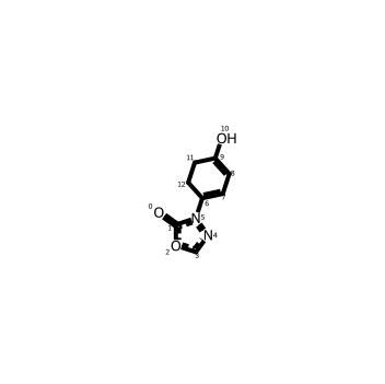 O=c1ocnn1C1=CC=C(O)CC1